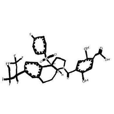 O=C(O)c1cc(O)c(C(=O)N2CC[C@@]3(S(=O)(=O)c4ccc(F)cc4)c4ccc(C(F)(C(F)(F)F)C(F)(F)F)cc4CC[C@@H]23)cc1O